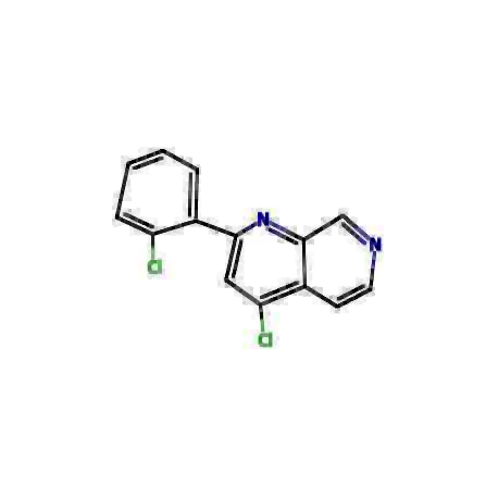 Clc1ccccc1-c1cc(Cl)c2ccncc2n1